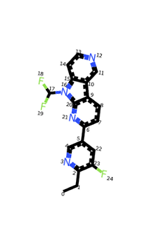 CCc1ncc(-c2ccc3c4cnccc4n(C(F)F)c3n2)cc1F